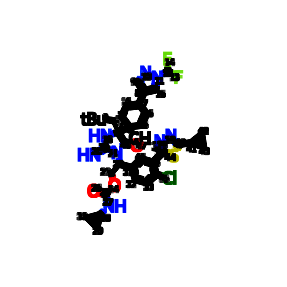 CC(C)(C)C[C@]1(C2(C)C=CC(c3cnn(C(F)F)c3)=CC2)NC(=N)N([C@H](COC(=O)NC2CC2)c2ccc(Cl)c(-c3nnc(C4CC4)s3)c2)C1=O